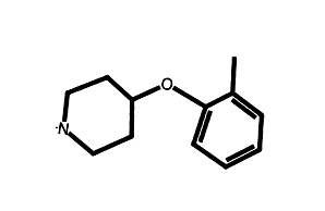 Cc1ccccc1OC1CC[N]CC1